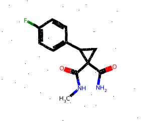 CNC(=O)C1(C(N)=O)CC1c1ccc(F)cc1